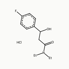 CCN(CC)C(=O)CC(O)c1ccc(F)cc1.Cl